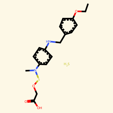 CCOc1ccc(CNc2ccc(N(C)SOCC(=O)O)cc2)cc1.S